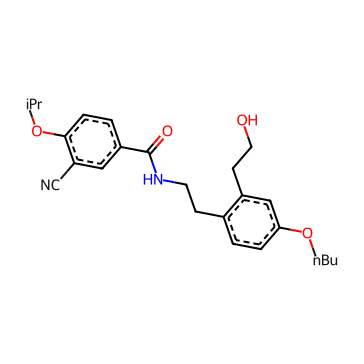 CCCCOc1ccc(CCNC(=O)c2ccc(OC(C)C)c(C#N)c2)c(CCO)c1